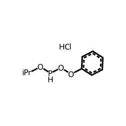 CC(C)OPOOc1ccccc1.Cl